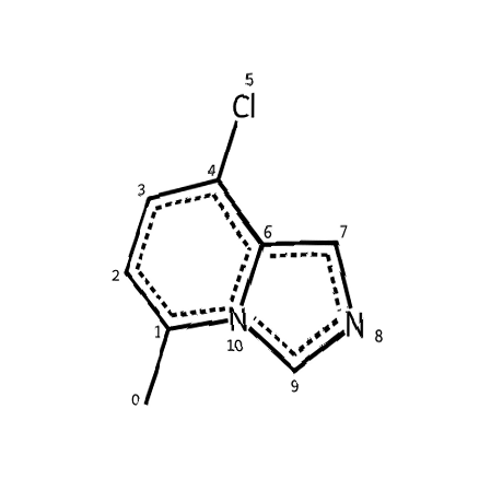 Cc1ccc(Cl)c2cncn12